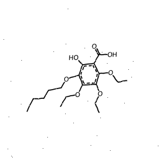 CCCCCOc1c(O)c(C(=O)O)c(OCC)c(OCC)c1OCC